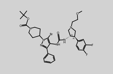 COCCN1C[C@@H](NC(=O)Nc2c(-c3ccccc3)nn(C3CCN(C(=O)OC(C)(C)C)CC3)c2Br)[C@H](c2ccc(F)c(F)c2)C1